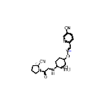 Cl.Cl.N#Cc1ccc(/C=N/OC2CCC(NCC(=O)N3CCC[C@H]3C#N)CC2)nc1